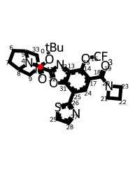 CC(C)(C)OC(=O)N1C2CCC1CN(c1nc3c(OC(F)(F)F)c(C(=O)N4CCC4)cc(-c4nccs4)c3o1)C2